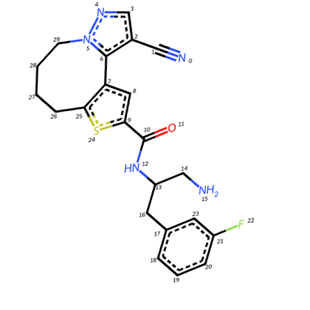 N#Cc1cnn2c1-c1cc(C(=O)NC(CN)Cc3cccc(F)c3)sc1CCCC2